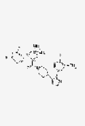 Cc1cc(-n2nccc2C2CCN(C(=O)[C@@H]3C[C@@](C)(N)C[C@H]3c3ccc(F)cc3F)CC2)ccc1F